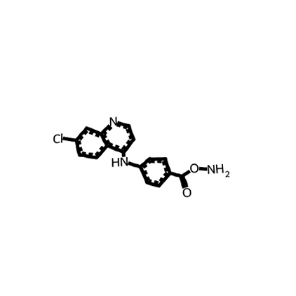 NOC(=O)c1ccc(Nc2ccnc3cc(Cl)ccc23)cc1